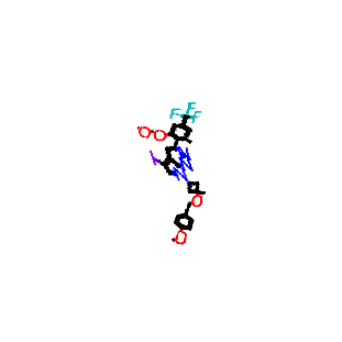 COCOc1cc(C(F)(F)F)cc(C)c1-c1cc2c(I)cn(C3CC(C)(OCc4ccc(OC)cc4)C3)c2nn1